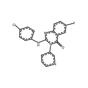 O=c1c2cc(F)ccc2nc(Nc2ccc(Cl)cc2)n1-c1cccnc1